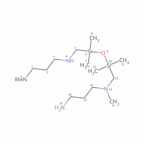 CNCCCNC[Si](C)(C)O[Si](C)(C)CN(C)CCCN